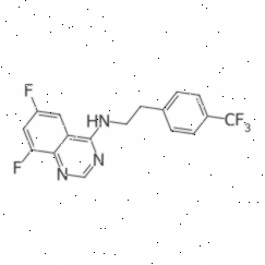 Fc1cc(F)c2ncnc(NCCc3ccc(C(F)(F)F)cc3)c2c1